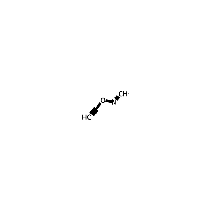 [CH]=NOC#C